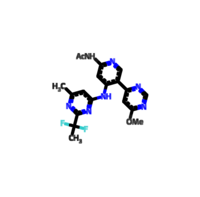 COc1cc(-c2cnc(NC(C)=O)cc2Nc2cc(C)nc(C(C)(F)F)n2)ncn1